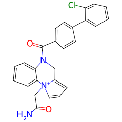 NC(=O)C[N+]12C=CC=C1CN(C(=O)c1ccc(-c3ccccc3Cl)cc1)c1ccccc12